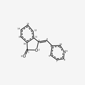 O=C1OC(=Cc2cccnc2)c2ccccc21